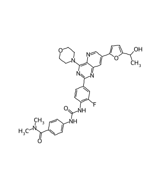 CC(O)c1ccc(-c2cnc3c(N4CCOCC4)nc(-c4ccc(NC(=O)Nc5ccc(C(=O)N(C)C)cc5)c(F)c4)nc3c2)o1